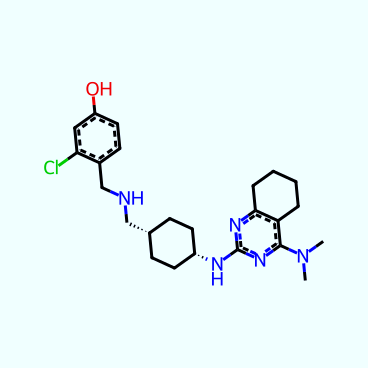 CN(C)c1nc(N[C@H]2CC[C@@H](CNCc3ccc(O)cc3Cl)CC2)nc2c1CCCC2